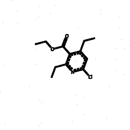 CCOC(=O)c1c(CC)cc(Cl)nc1CC